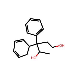 CC(O)C(CCO)(c1ccccc1)C1C=CC=CC1